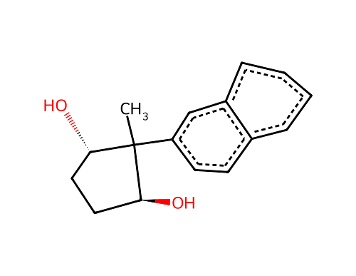 CC1(c2ccc3ccccc3c2)[C@@H](O)CC[C@@H]1O